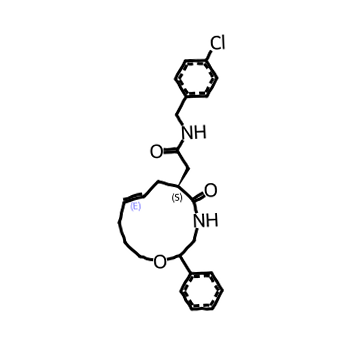 O=C(C[C@@H]1C/C=C/CCCOC(c2ccccc2)CNC1=O)NCc1ccc(Cl)cc1